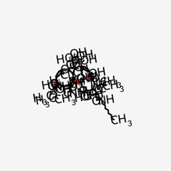 CCCCCCCCNC(=O)Oc1cc(O)c2c(c1)[C@@H](C(=O)CC(C)(C)C)NC(=O)[C@H]1NC(=O)[C@H](CC(=O)[C@@H]3NC(=O)[C@H](CC(N)=O)CC(=O)[C@H](NC(=O)[C@H](CC)CC(C)C)[C@H](O)c4ccc(c(Cl)c4)Oc4cc3cc(c4O[C@@H]3O[C@H](CO)[C@@H](O)[C@H](O)[C@H]3O)Oc3ccc(cc3Cl)[C@H]1O)c1ccc(O)c-2c1